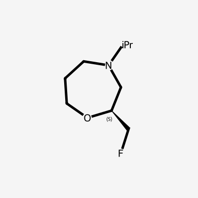 CC(C)N1CCCO[C@H](CF)C1